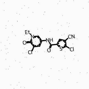 CCn1cc(NC(=O)c2cc(C#N)c(Cl)s2)cc(Cl)c1=O